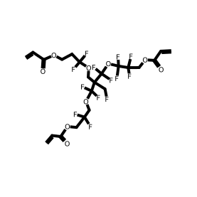 C=CC(=O)OCCC(F)(F)OCC(CF)(C(F)(F)OCC(F)(F)COC(=O)C=C)C(F)(F)OC(F)(F)C(F)(F)COC(=O)C=C